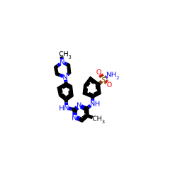 Cc1cnc(Nc2ccc(N3CCN(C)CC3)cc2)nc1Nc1cccc(S(N)(=O)=O)c1